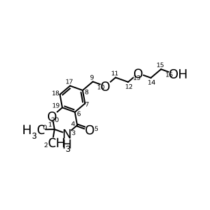 CC1(C)NC(=O)c2cc(COCCOCCO)ccc2O1